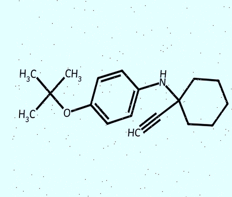 C#CC1(Nc2ccc(OC(C)(C)C)cc2)CCCCC1